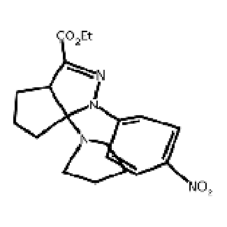 CCOC(=O)C1=NN(c2ccc([N+](=O)[O-])cc2)C2(N3CCCC3)CCCC12